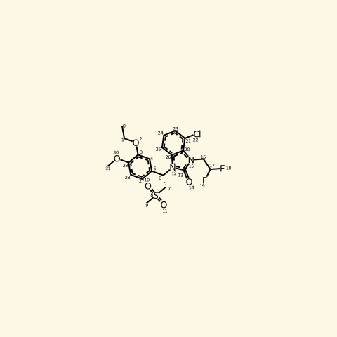 CCOc1cc([C@@H](CS(C)(=O)=O)n2c(=O)n(CC(F)F)c3c(Cl)cccc32)ccc1OC